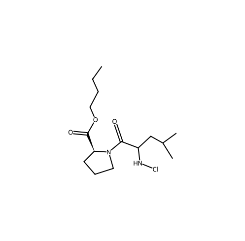 CCCCOC(=O)[C@@H]1CCCN1C(=O)C(CC(C)C)NCl